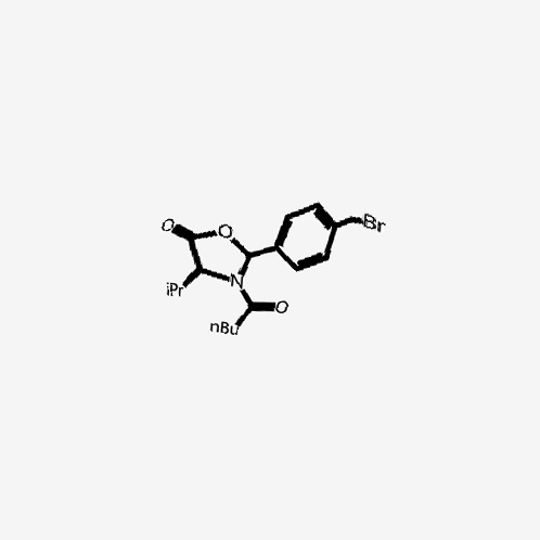 CCCCC(=O)N1C(c2ccc(Br)cc2)OC(=O)C1C(C)C